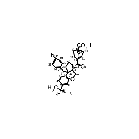 CC(F)(c1ccc2c(c1)OCC1N(C(=O)C34CCC(C(=O)O)(CC3)CC4)CCC21Cc1ccc(F)cc1)C(F)(F)F